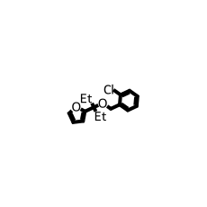 CCC(CC)(OCc1ccccc1Cl)c1ccco1